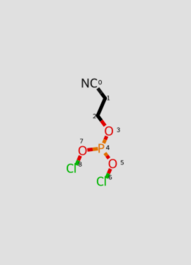 N#CCCOP(OCl)OCl